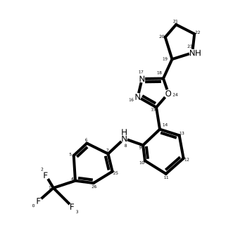 FC(F)(F)c1ccc(Nc2ccccc2-c2nnc(C3CCCN3)o2)cc1